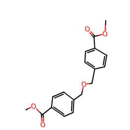 COC(=O)c1ccc(COCc2ccc(C(=O)OC)cc2)cc1